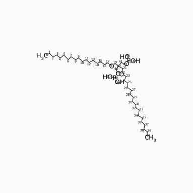 CCCCCCCCCCCCCCCCCCOCC(COCCCCCCCCCCCCCCCCCC)(COP(O)O)COP(O)O